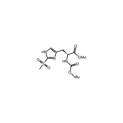 COC(=O)[C@H](Cc1c[nH]c(S(C)(=O)=O)n1)NC(=O)OC(C)(C)C